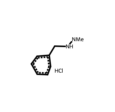 CNNCc1ccccc1.Cl